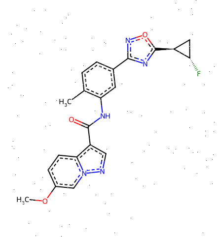 COc1ccc2c(C(=O)Nc3cc(-c4noc([C@H]5C[C@@H]5F)n4)ccc3C)cnn2c1